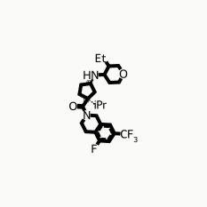 CCC1COCCC1N[C@@H]1CC[C@@](C(=O)N2CCc3c(F)cc(C(F)(F)F)cc3C2)(C(C)C)C1